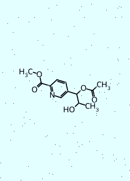 COC(=O)c1ccc(C(OC(C)=O)C(C)O)cn1